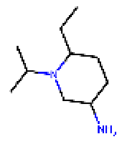 CCC1CCC(N)CN1C(C)C